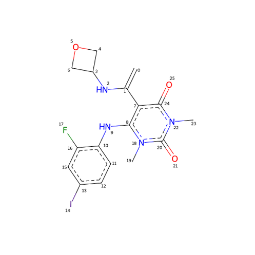 C=C(NC1COC1)c1c(Nc2ccc(I)cc2F)n(C)c(=O)n(C)c1=O